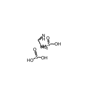 N=CN.O=S(O)O.O=S(O)O